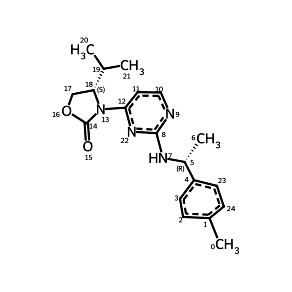 Cc1ccc([C@@H](C)Nc2nccc(N3C(=O)OC[C@@H]3C(C)C)n2)cc1